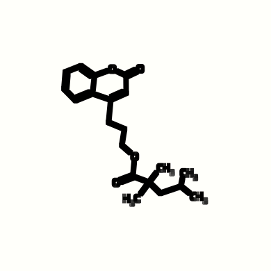 CC(C)CC(C)(C)C(=O)OCCCc1cc(=O)oc2ccccc12